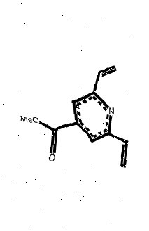 C=Cc1cc(C(=O)OC)cc(C=C)n1